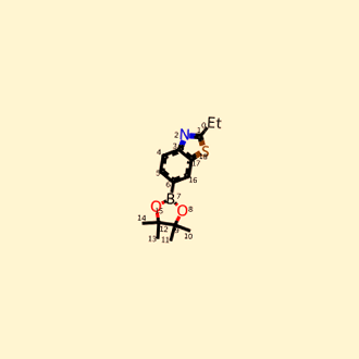 CCc1nc2ccc(B3OC(C)(C)C(C)(C)O3)cc2s1